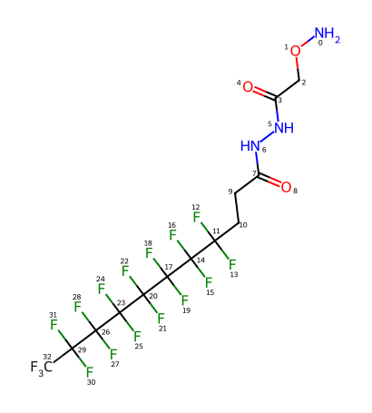 NOCC(=O)NNC(=O)CCC(F)(F)C(F)(F)C(F)(F)C(F)(F)C(F)(F)C(F)(F)C(F)(F)C(F)(F)F